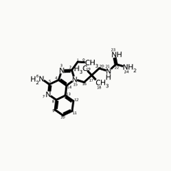 CCc1nc2c(N)nc3ccccc3c2n1CC(C)(C)CNC(=N)N